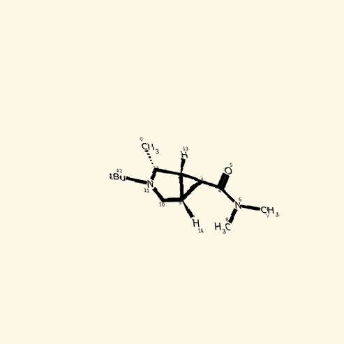 C[C@@H]1[C@@H]2C(C(=O)N(C)C)[C@@H]2CN1C(C)(C)C